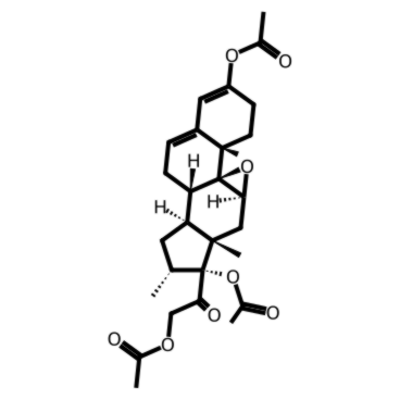 CC(=O)OCC(=O)[C@@]1(OC(C)=O)[C@H](C)C[C@H]2[C@@H]3CC=C4C=C(OC(C)=O)CC[C@]4(C)[C@@]34O[C@H]4C[C@@]21C